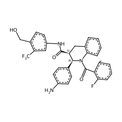 Cc1cccc(F)c1C(=O)N1c2ccccc2C[C@H](C(=O)Nc2ccc(CO)c(C(F)(F)F)c2)[C@@H]1c1ccc(N)cc1